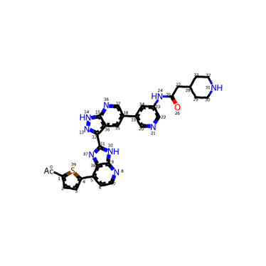 CC(=O)c1ccc(-c2ccnc3[nH]c(-c4n[nH]c5ncc(-c6cncc(NC(=O)CC7CCNCC7)c6)cc45)nc23)s1